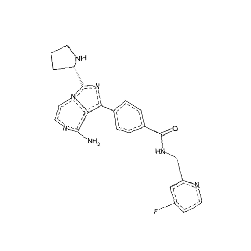 Nc1nccn2c([C@@H]3CCCN3)nc(-c3ccc(C(=O)NCc4cc(F)ccn4)cc3)c12